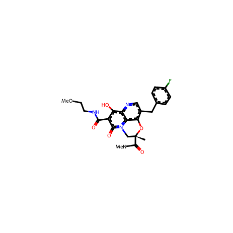 CNC(=O)[C@]1(C)Cn2c(=O)c(C(=O)NCCOC)c(O)c3ncc(Cc4ccc(F)cc4)c(c32)O1